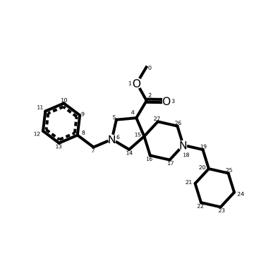 COC(=O)C1CN(Cc2ccccc2)CC12CCN(CC1CCCCC1)CC2